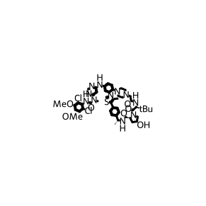 COc1cc(OC)c(Cl)c(NC(=O)N(C)c2cc(Nc3ccc(N4CCN(CC(=O)N[C@H](C(=O)N5C[C@@H](O)C[C@H]5C(=O)N[C@H](C)c5ccc(-c6scnc6C)cc5)C(C)(C)C)CC4)cc3)ncn2)c1Cl